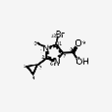 Cn1c(C2CC2)nc(C(=O)O)c1Br